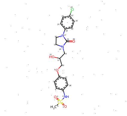 CS(=O)(=O)Nc1ccc(OCC(O)CN2CCN(c3ccc(Cl)cc3)C2=O)cc1